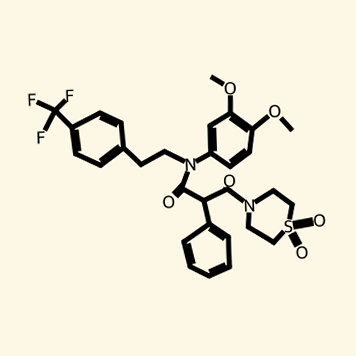 COc1ccc(N(CCc2ccc(C(F)(F)F)cc2)C(=O)C(C(=O)N2CCS(=O)(=O)CC2)c2ccccc2)cc1OC